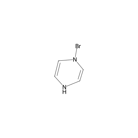 BrN1C=CNC=C1